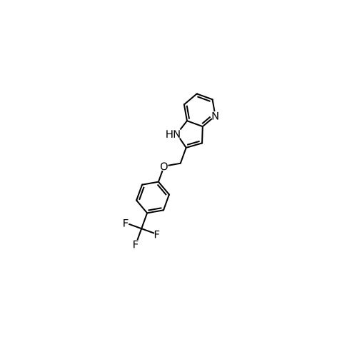 FC(F)(F)c1ccc(OCc2cc3ncccc3[nH]2)cc1